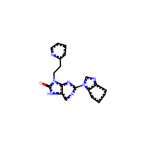 O=c1[nH]c2cnc(-n3cnc4ccccc43)nc2n1CCc1ccccn1